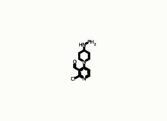 O=Cc1c(N2CCC(NP)CC2)ccnc1Cl